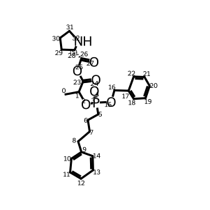 CC(OP(=O)(CCCCc1ccccc1)OCc1ccccc1)C(=O)OC(=O)[C@@H]1CCCN1